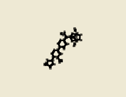 CN(c1ccc(-c2ccc(-c3cn[nH]c3)c(C#N)n2)nn1)C1C[C@H]2CC[C@@H](C1)N2